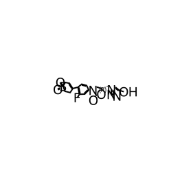 O=C1O[C@@H](Cn2cc(O)nn2)CN1c1ccc(C2=CCS(=O)(=O)CC2)c(F)c1